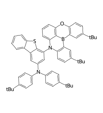 CC(C)(C)c1ccc(N(c2ccc(C(C)(C)C)cc2)c2cc(N3c4ccc(C(C)(C)C)cc4B4c5cc(C(C)(C)C)ccc5Oc5cccc3c54)c3sc4ccccc4c3c2)cc1